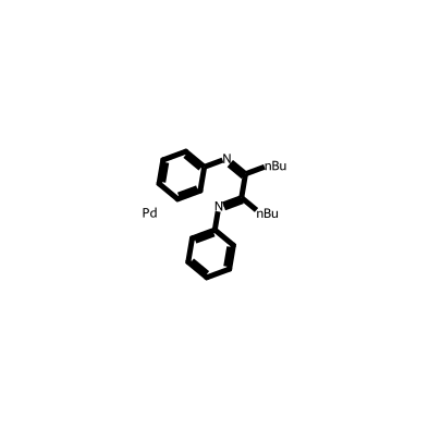 CCCCC(=Nc1ccccc1)C(CCCC)=Nc1ccccc1.[Pd]